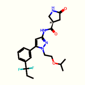 CCC(F)(F)c1cccc(-c2cc(NC(=O)[C@H]3CNC(=O)C3)nn2CCOC(C)C)c1